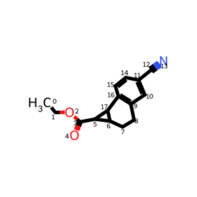 CCOC(=O)C1C2CCc3cc(C#N)ccc3C21